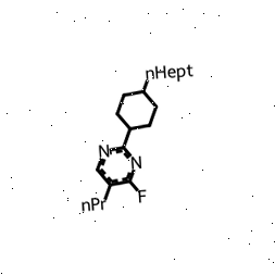 CCCCCCCC1CCC(c2ncc(CCC)c(F)n2)CC1